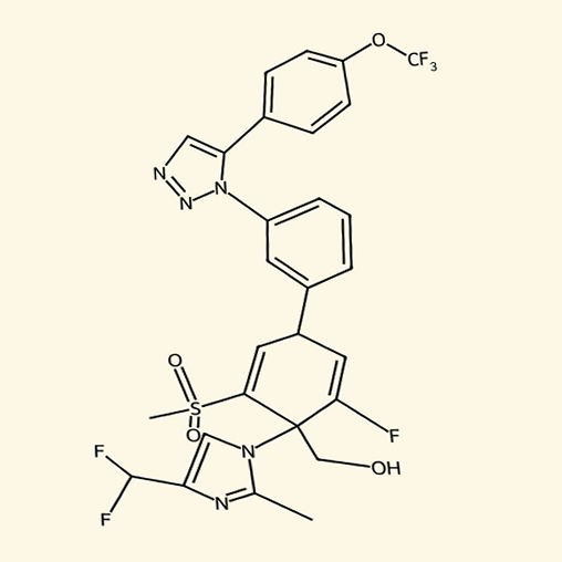 Cc1nc(C(F)F)cn1C1(CO)C(F)=CC(c2cccc(-n3nncc3-c3ccc(OC(F)(F)F)cc3)c2)C=C1S(C)(=O)=O